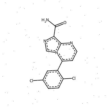 NC(=O)c1ncn2c(-c3cc(Cl)ccc3Cl)ccnc12